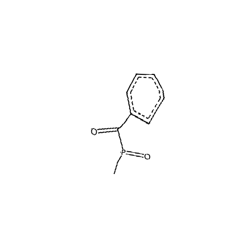 C[P](=O)C(=O)c1ccccc1